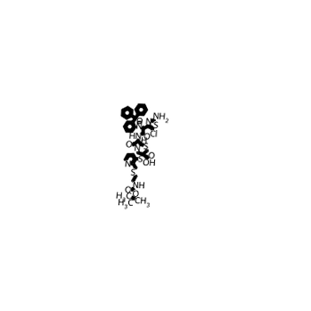 CC(C)(C)OC(=O)NCCSCc1ncccc1SC1(C(=O)O)CS[C@@H]2[C@H](NC(=O)C(=NOC(c3ccccc3)(c3ccccc3)c3ccccc3)c3nc(N)sc3Cl)C(=O)N2C1